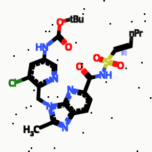 CCC/C=C/S(=O)(=O)NC(=O)c1ccc2nc(C)n(Cc3ncc(NC(=O)OC(C)(C)C)cc3Cl)c2n1